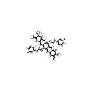 Cc1cc2cc3c(SCCc4ccccc4)c4cc5cc(Cl)c(Cl)cc5cc4c(SCCc4ccccc4)c3cc2cc1Cl